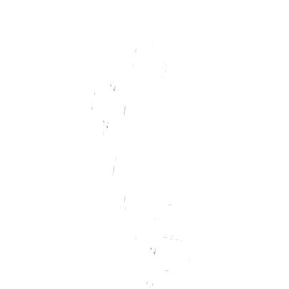 O=C1CCc2cccc3c2N1CC3OCCCCN1CCN(Cc2ccccc2)CC1